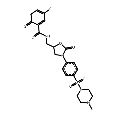 CN1CCN(S(=O)(=O)c2ccc(N3CC(CNC(=O)C4=CC(Cl)=CCC4=S)OC3=O)cc2)CC1